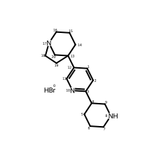 Br.c1cc(C2CCCNC2)ncc1C12CCCN(CC1)C2